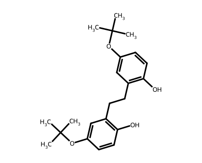 CC(C)(C)Oc1ccc(O)c(CCc2cc(OC(C)(C)C)ccc2O)c1